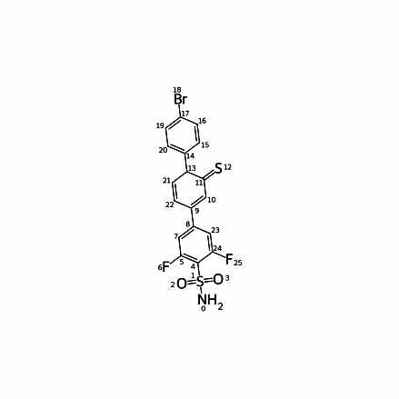 NS(=O)(=O)c1c(F)cc(C2=CC(=S)C(c3ccc(Br)cc3)C=C2)cc1F